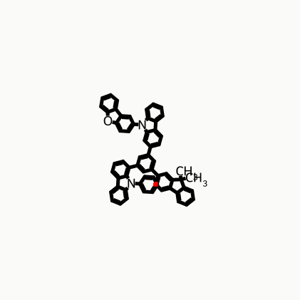 CC1(C)c2ccccc2-c2ccc(-c3cc(-c4ccc5c6ccccc6n(-c6ccc7oc8ccccc8c7c6)c5c4)cc(-c4cccc5c6ccccc6n(-c6ccccc6)c45)c3)cc21